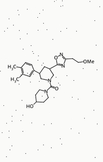 COCCc1noc(C2CC(c3ccc(C)c(C)c3)CN(C(=O)N3CCC(O)CC3)C2)n1